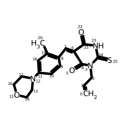 C=CCN1C(=O)/C(=C\c2ccc(N3CCOCC3)cc2C)C(=O)NC1=S